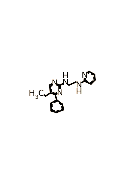 CCc1cnc(NCCNc2ccccn2)nc1-c1ccccc1